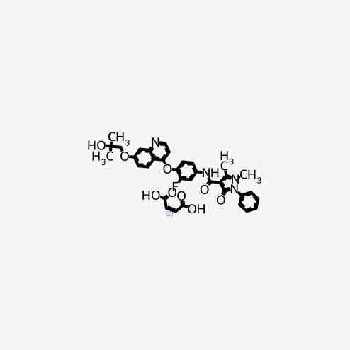 Cc1c(C(=O)Nc2ccc(Oc3ccnc4cc(OCC(C)(C)O)ccc34)c(F)c2)c(=O)n(-c2ccccc2)n1C.O=C(O)/C=C\C(=O)O